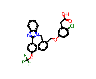 O=C(O)Cc1cc(OCc2ccccc2Cn2c(-c3ccc(OC(F)(F)F)cc3)nc3ccccc32)ccc1Cl